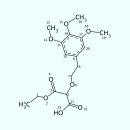 CCOC(=O)C(OCCc1cc(OC)c(OC)c(OC)c1)C(=O)O